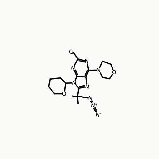 CC(I)(N=[N+]=[N-])c1nc2c(N3CCOCC3)nc(Cl)nc2n1C1CCCCO1